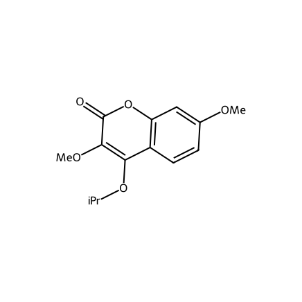 COc1ccc2c(OC(C)C)c(OC)c(=O)oc2c1